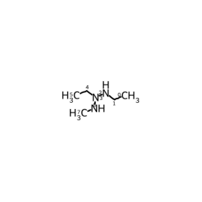 CCNN(CC)NC